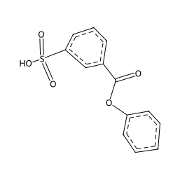 O=C(Oc1ccccc1)c1cccc(S(=O)(=O)O)c1